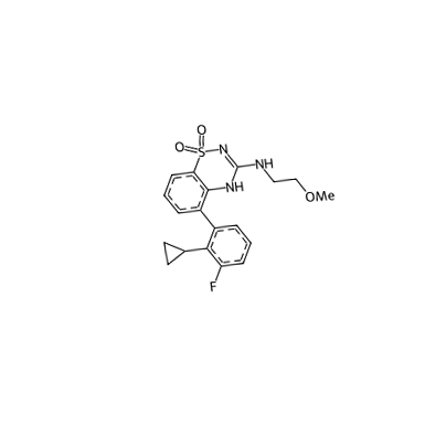 COCCNC1=NS(=O)(=O)c2cccc(-c3cccc(F)c3C3CC3)c2N1